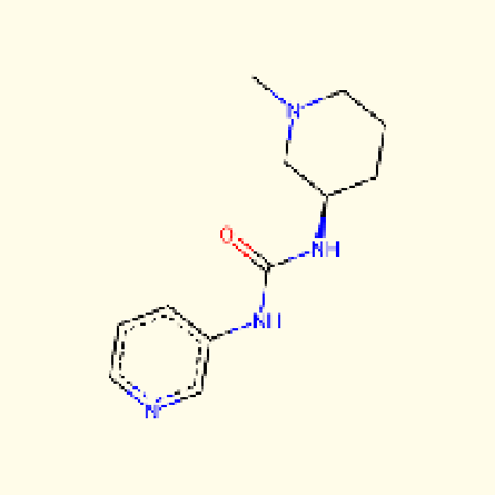 CN1CCC[C@@H](NC(=O)Nc2cccnc2)C1